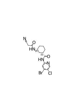 N#CCC(=O)N[C@@H]1CCC[C@H](C(=O)Nc2cc(Br)c(Cl)cn2)C1